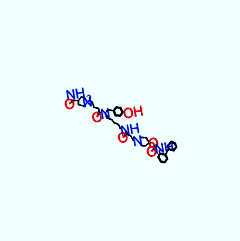 NC(=O)C1CCN(CCCC(=O)N(CCCCCNC(=O)CCN2CCC(OC(=O)Nc3ccccc3-c3ccccc3)CC2)Cc2ccc(O)cc2)CC1